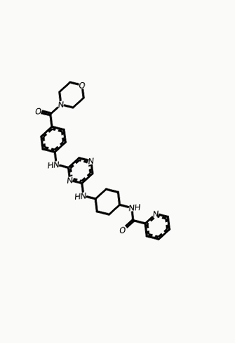 O=C(NC1CCC(Nc2cncc(Nc3ccc(C(=O)N4CCOCC4)cc3)n2)CC1)c1ccccn1